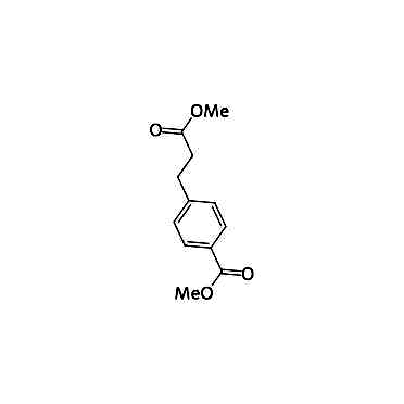 COC(=O)CCc1ccc(C(=O)OC)cc1